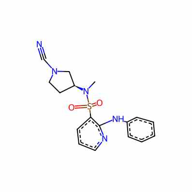 CN([C@H]1CCN(C#N)C1)S(=O)(=O)c1cccnc1Nc1ccccc1